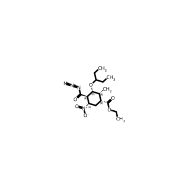 CCOC(=O)[C@@H]1C[C@H]([N+](=O)[O-])[C@@H](C(=O)N=[N+]=[N-])[C@H](OC(CC)CC)[C@@H]1C